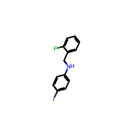 Fc1ccccc1CNc1ccc(I)cc1